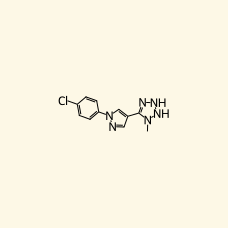 CN1NNN=C1c1cnn(-c2ccc(Cl)cc2)c1